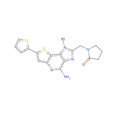 CCn1c(CN2CCCC2=O)nc2c(N)nc3cc(-c4cccs4)sc3c21